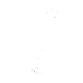 CCCCCNC(=O)CCOCCOCCOCCOCCOCCC(=O)C(C(C)=O)(C(C)=O)C(C)=O